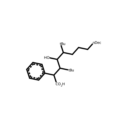 CCCCCCCCCCCCCC(C(O)C(C(C(=O)O)c1ccccc1)C(C)(C)C)C(C)(C)C